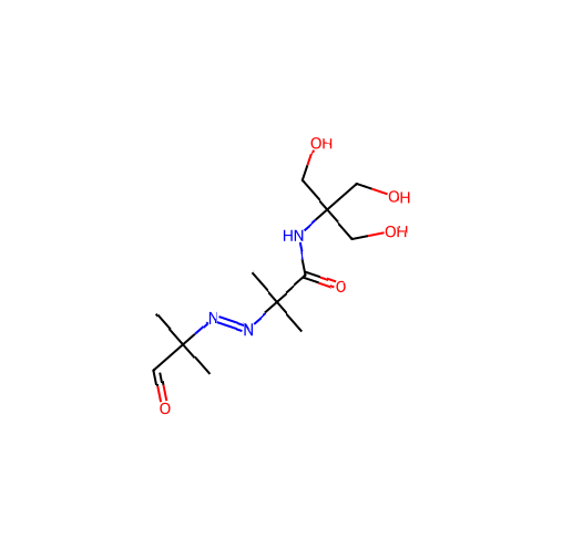 CC(C)(C=O)N=NC(C)(C)C(=O)NC(CO)(CO)CO